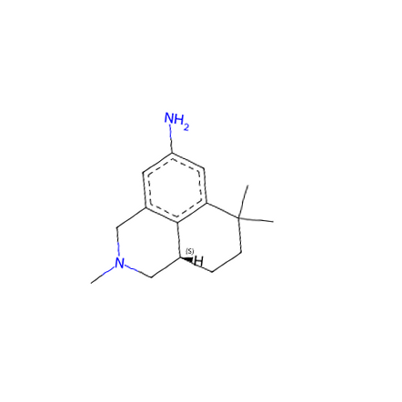 CN1Cc2cc(N)cc3c2[C@H](CCC3(C)C)C1